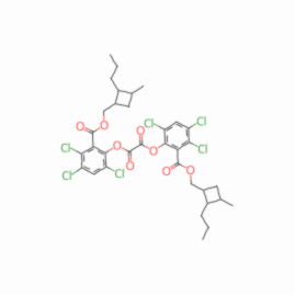 CCCC1C(C)CC1COC(=O)c1c(Cl)c(Cl)cc(Cl)c1OC(=O)C(=O)Oc1c(Cl)cc(Cl)c(Cl)c1C(=O)OCC1CC(C)C1CCC